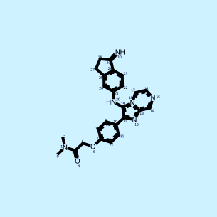 CN(C)C(=O)COc1ccc(-c2nc3cnccn3c2Nc2ccc3c(c2)CCC3=N)cc1